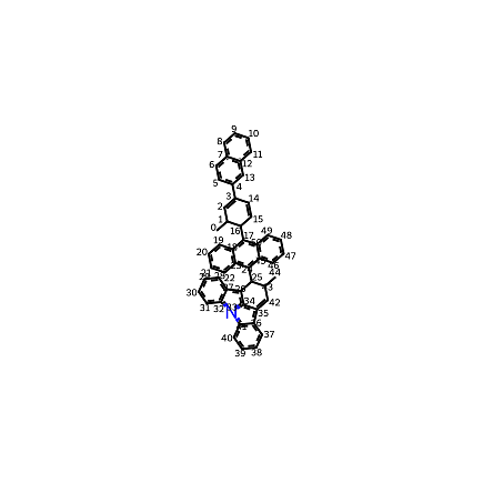 CC1C=C(c2ccc3ccccc3c2)C=CC1c1c2ccccc2c(C2c3c4ccccc4n4c3c(c3ccccc34)=CC2C)c2ccccc12